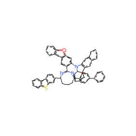 C1=CC2c3cc4ccccc4cc3N(c3cc4oc5ccccc5c4cc3C3=N/C(c4ccc5c(c4)sc4ccccc45)CCC/C(c4ccc(-c5ccccc5)cc4)=N\3)C2C=C1